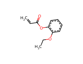 C=CC(=O)Oc1ccccc1OCC